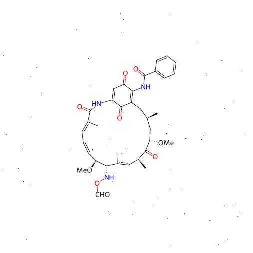 CO[C@H]1C[C@H](C)CC2=C(NC(=O)c3ccccc3)C(=O)C=C(NC(=O)/C(C)=C/C=C\[C@H](OC)[C@@H](NOC=O)/C(C)=C/[C@H](C)C1=O)C2=O